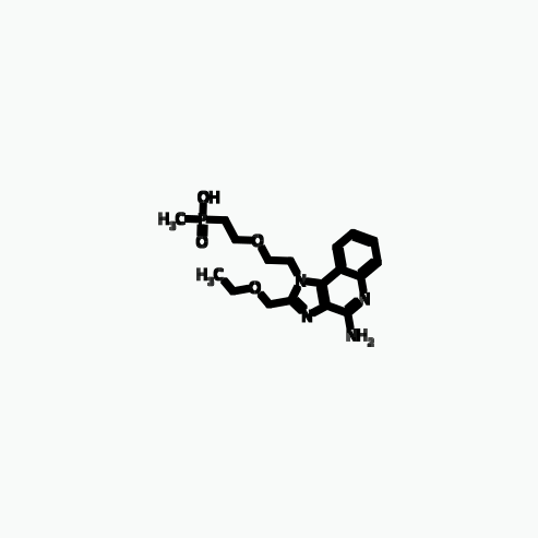 CCOCc1nc2c(N)nc3ccccc3c2n1CCOCCP(C)(=O)O